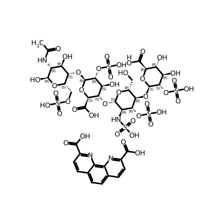 CC(=O)N[C@@H]1[C@@H](O)[C@H](O[C@@H]2O[C@H](C(=O)O)[C@@H](O[C@@H]3O[C@H](CO)[C@@H](O[C@H]4O[C@@H](C(=O)O)[C@H](O)[C@@H](O)[C@@H]4OS(=O)(=O)O)[C@H](OS(=O)(=O)O)[C@H]3NS(=O)(=O)O)[C@H](O)[C@H]2OS(=O)(=O)O)[C@H](COS(=O)(=O)O)O[C@H]1O.O=C(O)c1ccc2ccc3ccc(C(=O)O)nc3c2n1